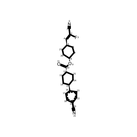 N#CC(F)=C[C@H]1CC[C@H](OC(=O)[C@H]2CC[C@H](c3ccc(C#N)cc3)CC2)CC1